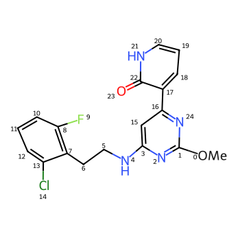 COc1nc(NCCc2c(F)cccc2Cl)cc(-c2ccc[nH]c2=O)n1